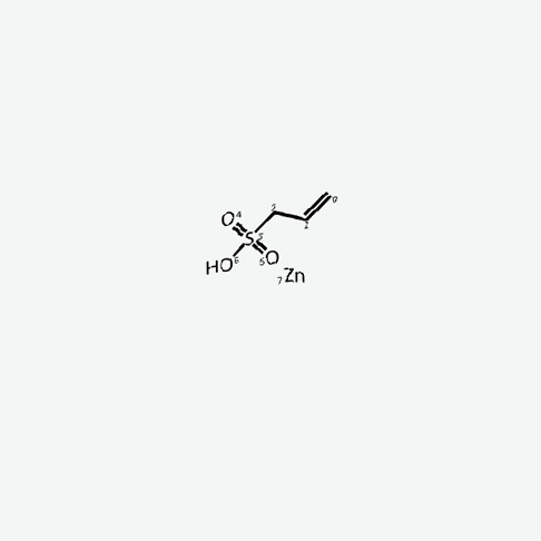 C=CCS(=O)(=O)O.[Zn]